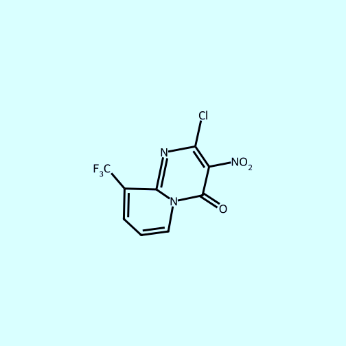 O=c1c([N+](=O)[O-])c(Cl)nc2c(C(F)(F)F)cccn12